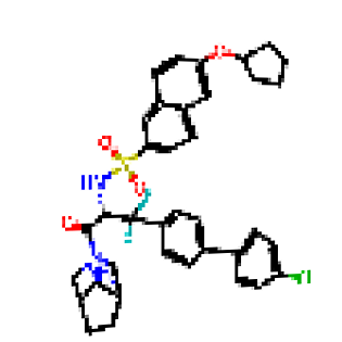 NC1C2CCC1CN(C(=O)[C@H](NS(=O)(=O)c1ccc3cc(OC4CCCC4)ccc3c1)C(F)(F)c1ccc(-c3ccc(Cl)cc3)cc1)C2